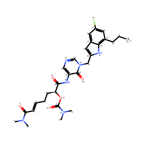 CN(C)C(=O)/C=C/CC[C@H](OC(=O)N(C)C)C(=O)Nc1cncn(Cc2cc3cc(F)cc(CCC(F)(F)F)c3[nH]2)c1=O